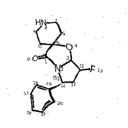 O=C1N2C(OC13CCNCC3)C(F)C[C@H]2c1ccccc1